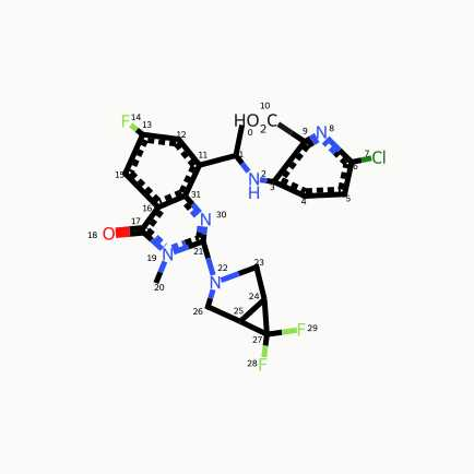 CC(Nc1ccc(Cl)nc1C(=O)O)c1cc(F)cc2c(=O)n(C)c(N3CC4C(C3)C4(F)F)nc12